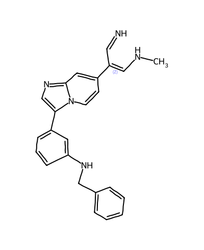 CN/C=C(\C=N)c1ccn2c(-c3cccc(NCc4ccccc4)c3)cnc2c1